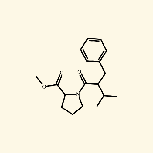 COC(=O)C1CCCN1C(=O)C(Cc1ccccc1)C(C)C